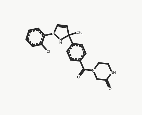 O=C1CN(C(=O)c2ccc(C3(C(F)(F)F)C=CN(c4ccccc4Cl)N3)cc2)CCN1